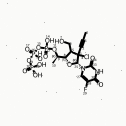 CC#CC1(Cl)C(CO)[C@@H]([C@@H](C)OP(=O)(O)OP(=O)(O)OP(=O)(O)O)O[C@H]1n1cc(F)c(=O)[nH]c1=O